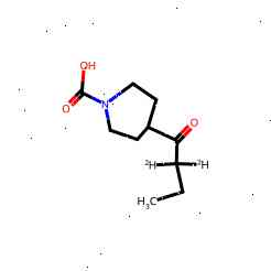 [2H]C([2H])(CC)C(=O)C1CCN(C(=O)O)CC1